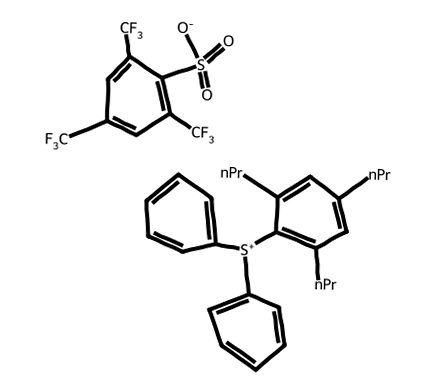 CCCc1cc(CCC)c([S+](c2ccccc2)c2ccccc2)c(CCC)c1.O=S(=O)([O-])c1c(C(F)(F)F)cc(C(F)(F)F)cc1C(F)(F)F